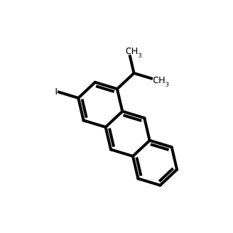 CC(C)c1cc(I)cc2cc3ccccc3cc12